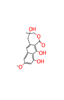 COc1cc(O)c2c(O)c3c(cc2c1)CC(C)(O)COC3=O